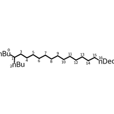 [CH2]CCCC(CCCC)CCCCCCCCCCCCCCCCCCCCCCC